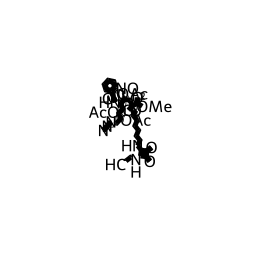 C#CCNc1c(NCCCCCCO[C@]2(C(=O)OC)C[C@H](OC(C)=O)[C@@H](NS(=O)(=O)c3ccccc3[N+](=O)[O-])[C@H]([C@H](OC(C)=O)[C@@H](CN=[N+]=[N-])OC(C)=O)O2)c(=O)c1=O